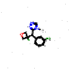 Cn1cnnc1C(c1cccc(Br)c1)C1(F)COC1